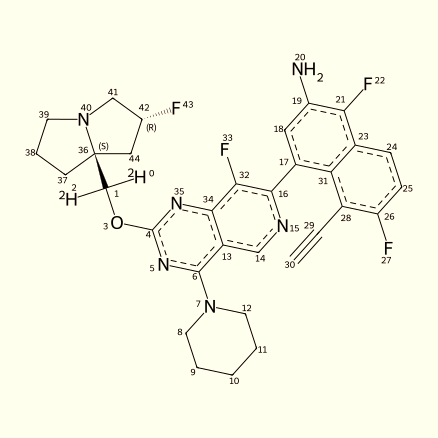 [2H]C([2H])(Oc1nc(N2CCCCC2)c2cnc(-c3cc(N)c(F)c4ccc(F)c(C#C)c34)c(F)c2n1)[C@@]12CCCN1C[C@H](F)C2